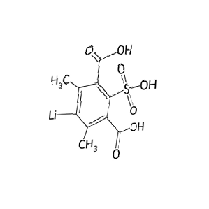 [Li][c]1c(C)c(C(=O)O)c(S(=O)(=O)O)c(C(=O)O)c1C